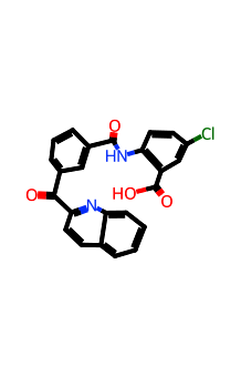 O=C(Nc1ccc(Cl)cc1C(=O)O)c1cccc(C(=O)c2ccc3ccccc3n2)c1